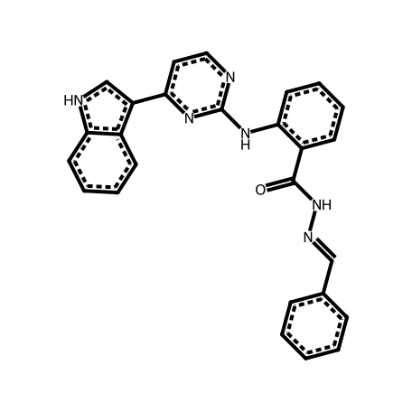 O=C(NN=Cc1ccccc1)c1ccccc1Nc1nccc(-c2c[nH]c3ccccc23)n1